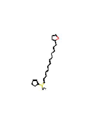 CCC[S+](CCCCCCCCCCCCCC1CCCO1)C1CCCC1